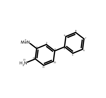 CNc1cc(-c2ccccc2)ccc1N